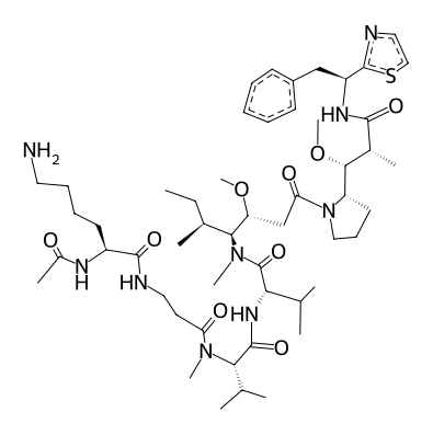 CC[C@H](C)[C@@H]([C@@H](CC(=O)N1CCC[C@H]1[C@H](OC)[C@@H](C)C(=O)N[C@@H](Cc1ccccc1)c1nccs1)OC)N(C)C(=O)[C@@H](NC(=O)[C@H](C(C)C)N(C)C(=O)CCNC(=O)[C@H](CCCCN)NC(C)=O)C(C)C